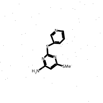 CSc1cc(N)nc(Sc2cccnc2)n1